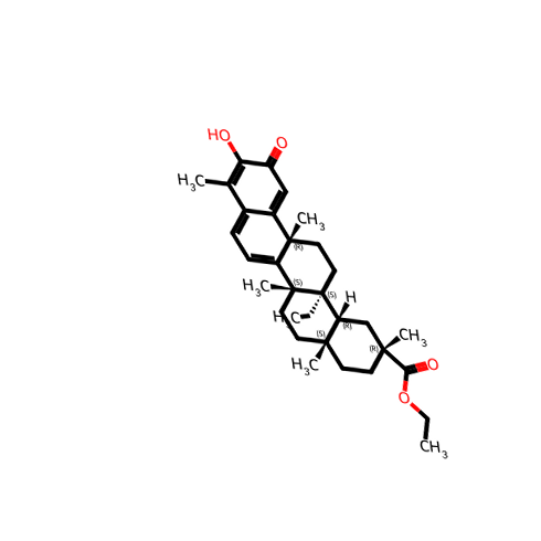 CCOC(=O)[C@]1(C)CC[C@]2(C)CC[C@]3(C)C4=CC=C5C(=CC(=O)C(O)=C5C)[C@]4(C)CC[C@@]3(CC)[C@@H]2C1